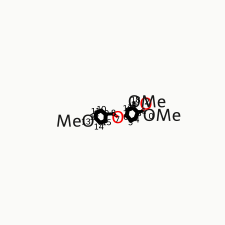 COC(=O)c1ccc(OCc2ccc(OC)cc2)cc1OC